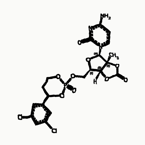 C[C@@]12OC(=O)O[C@@H]1[C@@H](COP1(=O)OCCC(c3cc(Cl)cc(Cl)c3)O1)O[C@H]2n1ccc(N)nc1=O